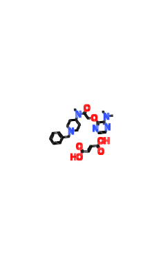 CN(C)c1nccnc1OCC(=O)N(C)C1CCN(Cc2ccccc2)CC1.O=C(O)C=CC(=O)O